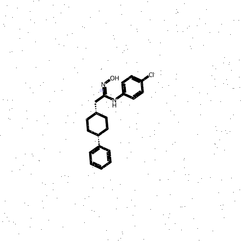 O/N=C(/C[C@H]1CC[C@@H](c2ccccc2)CC1)Nc1ccc(Cl)cc1